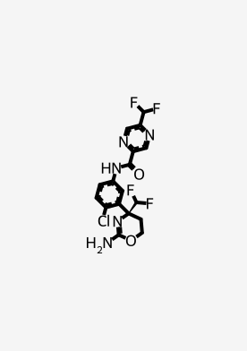 NC1=N[C@@](c2cc(NC(=O)c3cnc(C(F)F)cn3)ccc2Cl)(C(F)F)CCO1